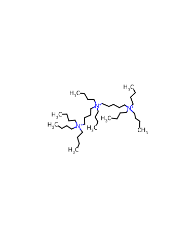 CCCC[N+](CCCC)(CCCC)CCCCC[N+](CCCC)(CCCC)CCCC[N+](CCCC)(CCCC)CCCC